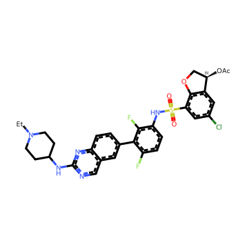 CCN1CCC(Nc2ncc3cc(-c4c(F)ccc(NS(=O)(=O)c5cc(Cl)cc6c5OC[C@H]6OC(C)=O)c4F)ccc3n2)CC1